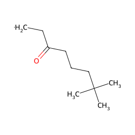 [CH2]CC(=O)CCCC(C)(C)C